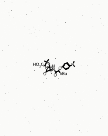 CCCCC(Oc1ccc(N(C)C)cc1)C(=O)N[C@@]1(C)C(=O)N2[C@@H](C(=O)O)C(C)(C)S[C@@H]21